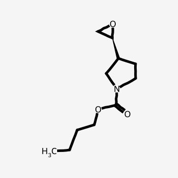 CCCCOC(=O)N1CCC([C@H]2CO2)C1